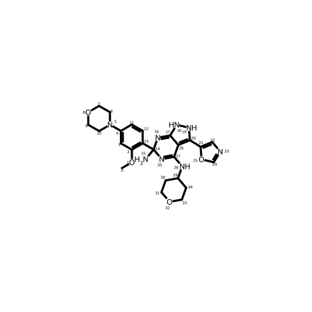 COc1cc(N2CCOCC2)ccc1C1(N)N=C2NNC(c3cnco3)=C2C(NC2CCOCC2)=N1